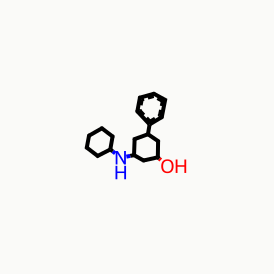 OC1CC(NC2CCCCC2)CC(c2ccccc2)C1